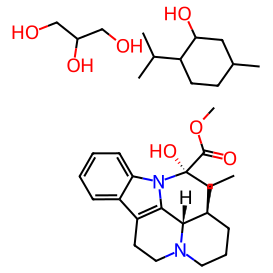 CC1CCC(C(C)C)C(O)C1.CC[C@]12CCCN3CCc4c(n(c5ccccc45)[C@@](O)(C(=O)OC)C1)[C@@H]32.OCC(O)CO